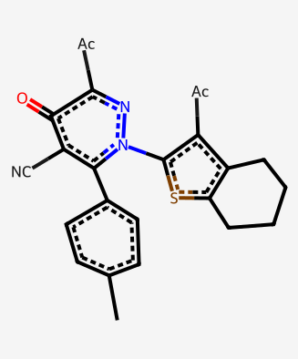 CC(=O)c1c(-n2nc(C(C)=O)c(=O)c(C#N)c2-c2ccc(C)cc2)sc2c1CCCC2